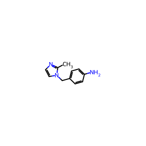 Cc1nccn1Cc1ccc(N)cc1